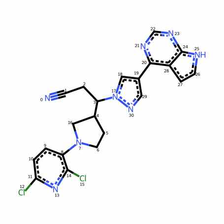 N#CCC(C1CCN(c2ccc(Cl)nc2Cl)C1)n1cc(-c2ncnc3[nH]ccc23)cn1